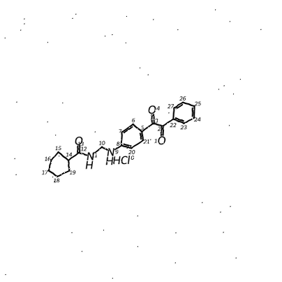 Cl.O=C(C(=O)c1ccc(NCNC(=O)C2CCCCC2)cc1)c1ccccc1